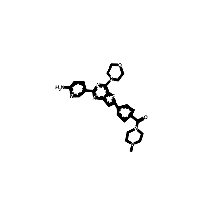 CN1CCN(C(=O)c2ccc(-c3cc4nc(-c5ccc(N)nc5)nc(N5CCOCC5)c4s3)cc2)CC1